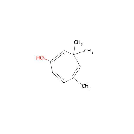 CC1=CC(C)(C)C=C(O)C=C1